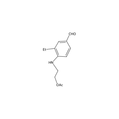 CCc1cc(C=O)ccc1NCCOC(C)=O